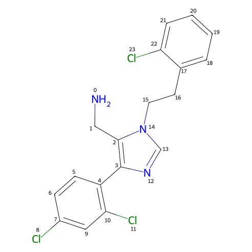 NCc1c(-c2ccc(Cl)cc2Cl)ncn1CCc1ccccc1Cl